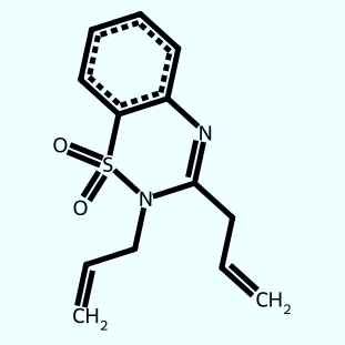 C=CCC1=Nc2ccccc2S(=O)(=O)N1CC=C